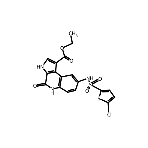 CCOC(=O)c1c[nH]c2c(=O)[nH]c3ccc(NS(=O)(=O)c4ccc(Cl)s4)cc3c12